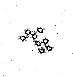 c1ccc(Oc2ccccc2-c2cc(Oc3ccc(Oc4ccccc4)c(-c4ccccc4Oc4ccccc4)c3)ccc2Oc2ccccc2)cc1